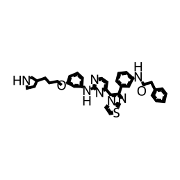 O=C(Cc1ccccc1)Nc1cccc(-c2nc3sccn3c2-c2ccnc(Nc3cccc(OCCCC4CCNC4)c3)n2)c1